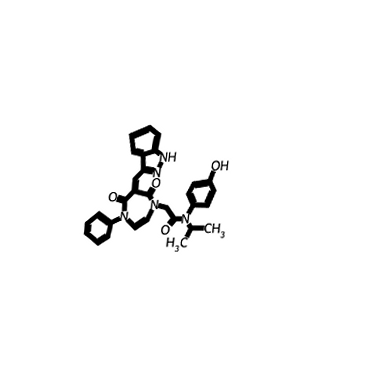 CC(C)N(C(=O)CN1C=CN(c2ccccc2)C(=O)/C(=C/c2n[nH]c3ccccc23)C1=O)c1ccc(O)cc1